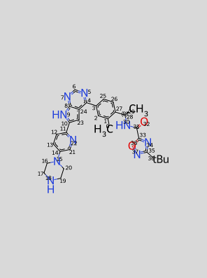 Cc1cc(-c2ncnc3[nH]c(-c4ccc(N5CCNCC5)cn4)cc23)ccc1[C@@H](C)NC(=O)c1nc(C(C)(C)C)no1